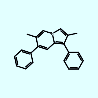 Cc1cn2cc(C)c(-c3ccccc3)c2cc1-c1ccccc1